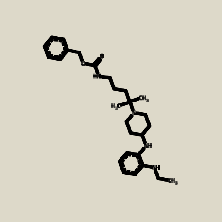 CCNc1ccccc1NC1CCN(C(C)(C)CCCNC(=O)OCc2ccccc2)CC1